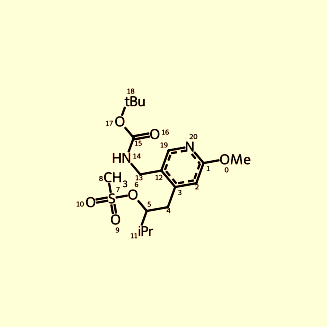 COc1cc(CC(OS(C)(=O)=O)C(C)C)c(CNC(=O)OC(C)(C)C)cn1